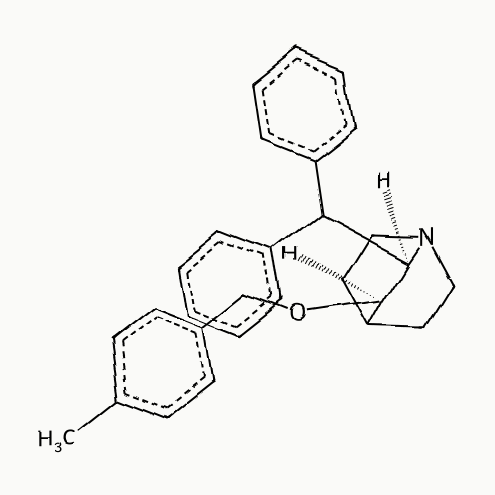 Cc1ccc(CO[C@@H]2C3CCN(CC3)[C@@H]2C(c2ccccc2)c2ccccc2)cc1